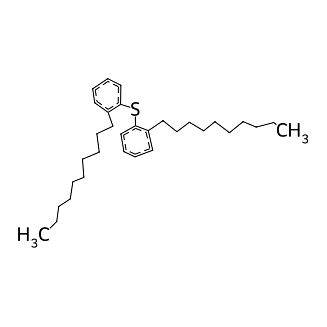 CCCCCCCCCCc1ccccc1Sc1ccccc1CCCCCCCCCC